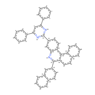 c1ccc(-c2cc(-c3ccccc3)nc(-c3ccc4c(c3)nc(-c3ccc5ccccc5c3)c3ccc5ccccc5c34)n2)cc1